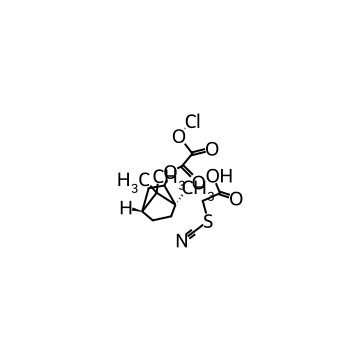 CC1(C)[C@@H]2CC[C@]1(C)C(OC(=O)C(=O)OCl)C2.N#CSCC(=O)O